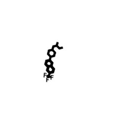 CCC(C)CC1CCC(c2ccc3cc(C(F)(F)F)ccc3c2)CC1